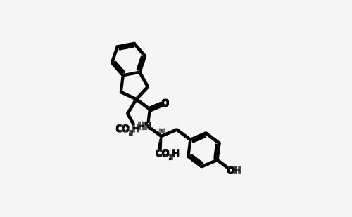 O=C(O)CC1(C(=O)N[C@@H](Cc2ccc(O)cc2)C(=O)O)Cc2ccccc2C1